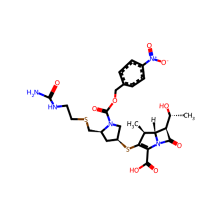 C[C@@H]1C(S[C@H]2C[C@@H](CSCCNC(N)=O)N(C(=O)OCc3ccc([N+](=O)[O-])cc3)C2)=C(C(=O)O)N2C(=O)[C@H]([C@@H](C)O)[C@@H]12